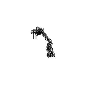 CC1(C)CN(Cc2ccc(OCCOCCOCCNc3cccc4c3C(=O)N(C3CCC(=O)NC3=O)C4=O)cc2F)C(=O)C1Oc1ccc(C#N)c(C(F)(F)F)c1